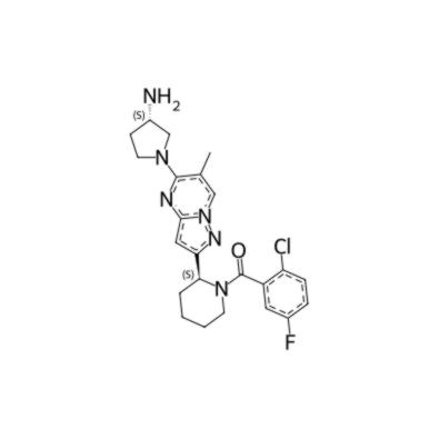 Cc1cn2nc([C@@H]3CCCCN3C(=O)c3cc(F)ccc3Cl)cc2nc1N1CC[C@H](N)C1